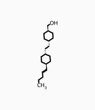 CCCC=C[C@H]1CC[C@H](CC[C@H]2CC[C@H](CO)CC2)CC1